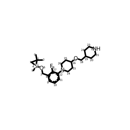 CC1(C)C[Si]1(C)OCc1cccc(N2CCC(OCC3CCNCC3)CC2)c1F